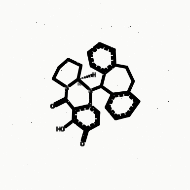 O=C1c2c(O)c(=O)ccn2N(C2c3ccccc3CCc3ccccc32)[C@@H]2CCCCN12